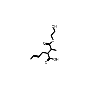 CC=CCC(C(=O)O)C(C)C(=O)OCCO